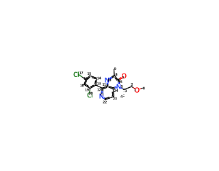 COC[C@H](C)n1c(=O)c(C)nc2c(-c3ccc(Cl)cc3Cl)nccc21